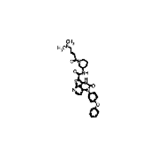 CN(C)CC=CC(=O)N1CCCC(NC(=O)c2sc3nccc4c3c2NC(=O)N4c2ccc(Oc3ccccc3)cc2)C1